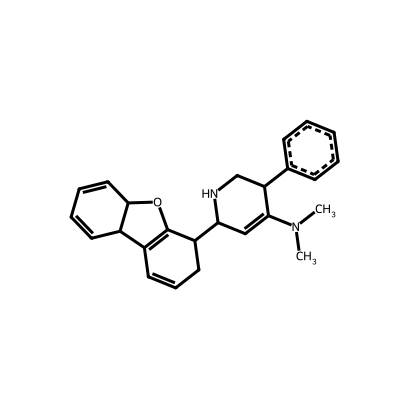 CN(C)C1=CC(C2CC=CC3=C2OC2C=CC=CC32)NCC1c1ccccc1